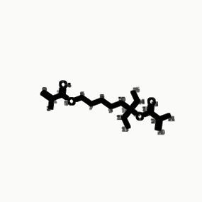 C=C(C)C(=O)OCCCCCC(CC)(CC)OC(=O)C(=C)C